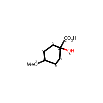 COC1CCC(O)(C(=O)O)CC1